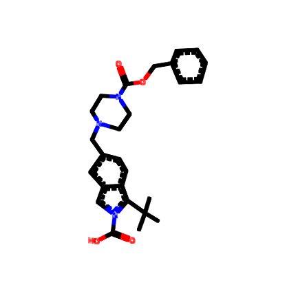 CC(C)(C)c1c2ccc(CN3CCN(C(=O)OCc4ccccc4)CC3)cc2cn1C(=O)O